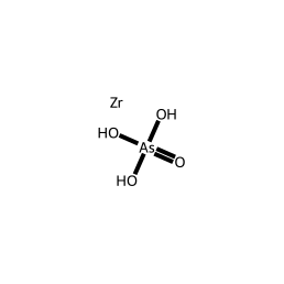 O=[As](O)(O)O.[Zr]